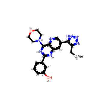 COCc1nn[nH]c1-c1cnc2c(N3CCOCC3)nc(-c3cccc(O)c3)nc2c1